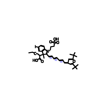 CCCCC(C(=O)O)C1(C)C(/C=C/C=C/C=C/C=C2C=C(C(C)(C)C)OC(C(C)(C)C)=C2)=[N+](CCCS(=O)(=O)O)c2ccc(I)cc21